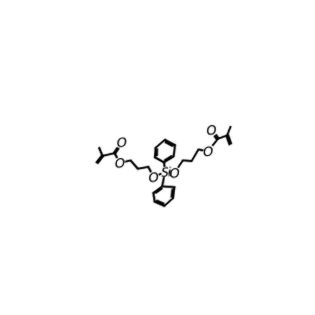 C=C(C)C(=O)OCCCO[Si](OCCCOC(=O)C(=C)C)(c1ccccc1)c1ccccc1